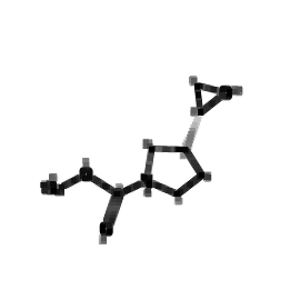 CC(C)(C)OC(=O)N1CCC([C@@H]2CO2)C1